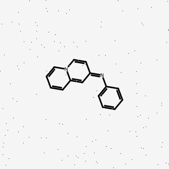 c1ccc(N=c2ccn3ccccc3c2)cc1